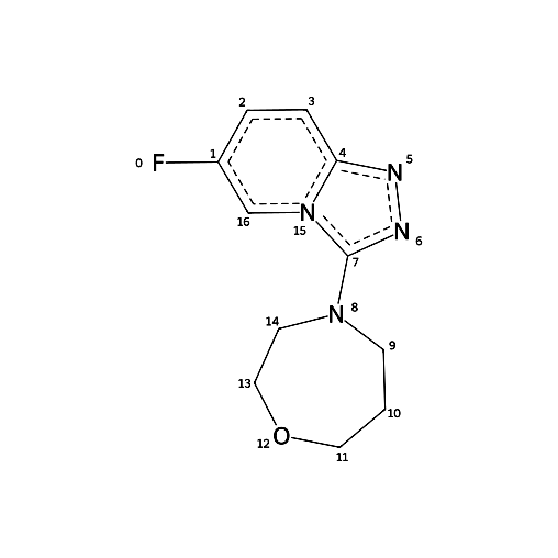 Fc1ccc2nnc(N3CCCOCC3)n2c1